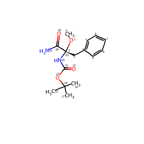 CO[C@](Cc1ccccc1)(NC(=O)OC(C)(C)C)C(N)=O